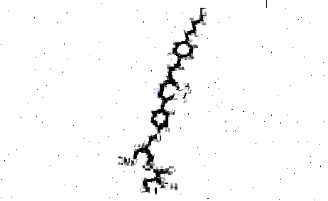 C=C(/C=C\C(=C)c1ccc(OCC(COC)COC(=O)C(=C)CO)cc1)CCC1CCC(CCCCF)CC1